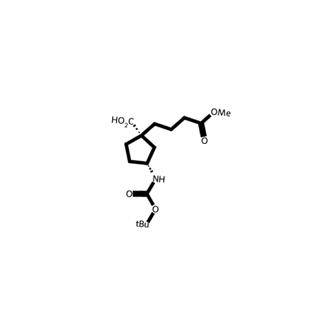 COC(=O)CCC[C@]1(C(=O)O)CC[C@@H](NC(=O)OC(C)(C)C)C1